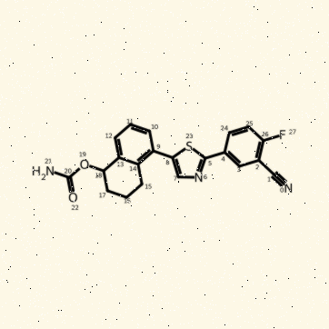 N#Cc1cc(-c2ncc(-c3cccc4c3CCCC4OC(N)=O)s2)ccc1F